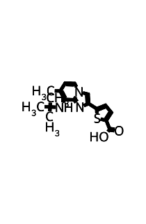 Cc1ccn2cc(-c3ccc(C(=O)O)s3)nc2c1NC(C)(C)C